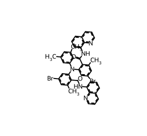 Cc1cc(C)cc(N(c2cc(Br)cc(C)c2C(=O)Nc2cccc3cccnc23)c2cc(Br)cc(C)c2C(=O)Nc2cccc3cccnc23)c1